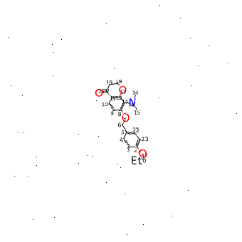 CCOc1ccc(COc2ccc3c(c2N(C)C)OCCC3=O)cc1